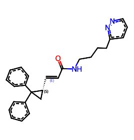 O=C(/C=C/[C@@H]1CC1(c1ccccc1)c1ccccc1)NCCCCc1cccnn1